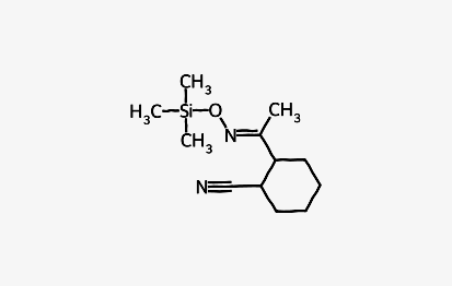 CC(=NO[Si](C)(C)C)C1CCCCC1C#N